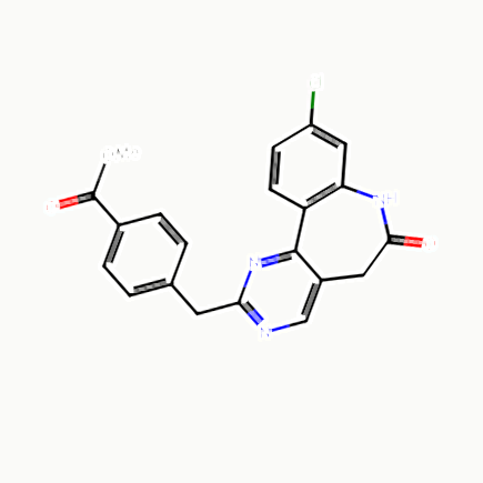 COC(=O)c1ccc(Cc2ncc3c(n2)-c2ccc(Cl)cc2NC(=O)C3)cc1